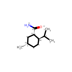 CC(C)[C@H]1CC[C@H](C)C[C@@H]1C(N)=O